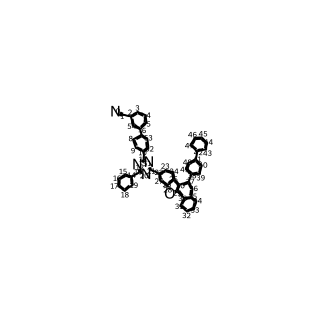 N#Cc1cccc(-c2ccc(-c3nc(-c4ccccc4)nc(-c4ccc5c(c4)oc4c6ccccc6cc(-c6ccc(-c7ccccc7)cc6)c54)n3)cc2)c1